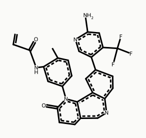 C=CC(=O)Nc1cc(-n2c(=O)ccc3cnc4ccc(-c5cnc(N)cc5C(F)(F)F)cc4c32)ccc1C